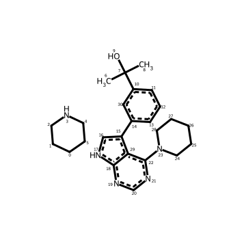 C1CCNCC1.CC(C)(O)c1cccc(-c2c[nH]c3ncnc(N4CCCCC4)c23)c1